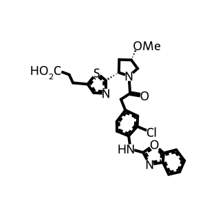 CO[C@H]1C[C@@H](c2ncc(CCC(=O)O)s2)N(C(=O)Cc2ccc(Nc3nc4ccccc4o3)c(Cl)c2)C1